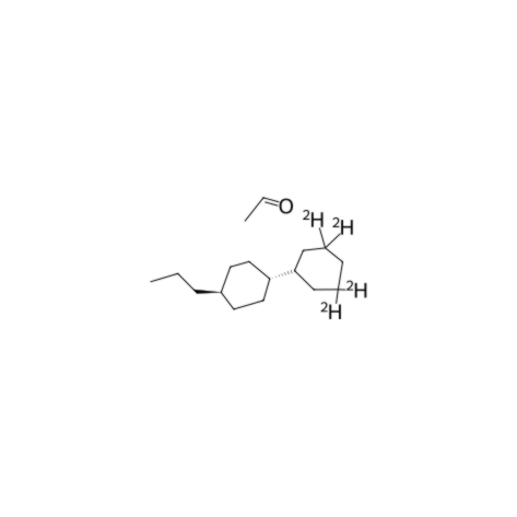 CC=O.[2H]C1([2H])CC([C@H]2CC[C@H](CCC)CC2)CC([2H])([2H])C1